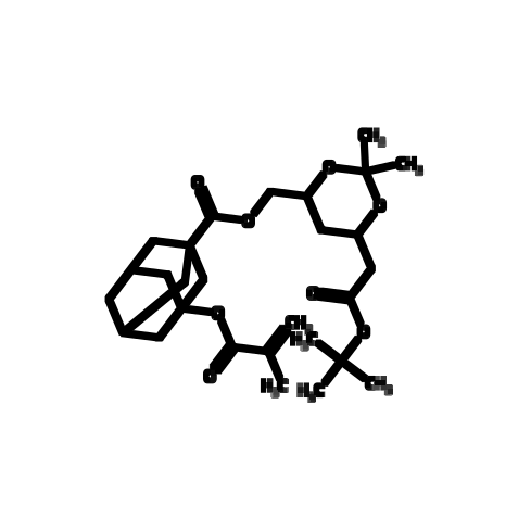 C=C(C)C(=O)OC12CC3CC(C1)CC(C(=O)OCC1CC(CC(=O)OC(C)(C)C)OC(C)(C)O1)(C3)C2